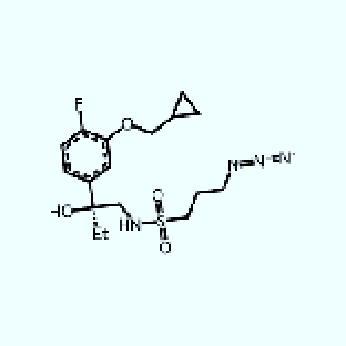 CC[C@@](O)(CNS(=O)(=O)CCCN=[N+]=[N-])c1ccc(F)c(OCC2CC2)c1